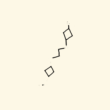 NC1CC(OCCO[C@H]2C[C@@H](OC(F)(F)F)C2)C1